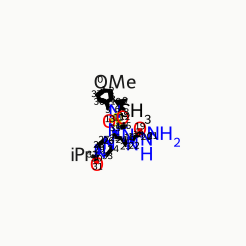 COc1ccc(CN(C2(C)CC2)S(=O)(=O)c2cn3c(C(=O)NN)ncc3c(N3CCN(C(=O)C(C)C)CC3)n2)cc1